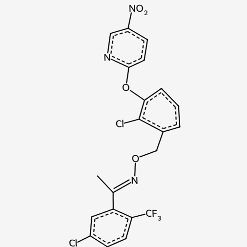 C/C(=N\OCc1cccc(Oc2ccc([N+](=O)[O-])cn2)c1Cl)c1cc(Cl)ccc1C(F)(F)F